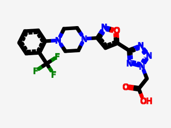 O=C(O)Cn1nnc(-c2cc(N3CCN(c4ccccc4C(F)(F)F)CC3)no2)n1